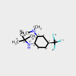 CN(C)[C@H]1C[C@@H](C(F)(F)F)CC[C@@H]1NC(C)(C)C